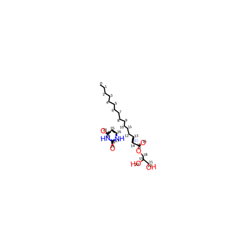 CCCCCCCCCCCCC/C=C/C(=O)OCC(O)CO.O=c1cc[nH]c(=O)[nH]1